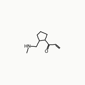 C=CC(=O)C1CCCC1CNC